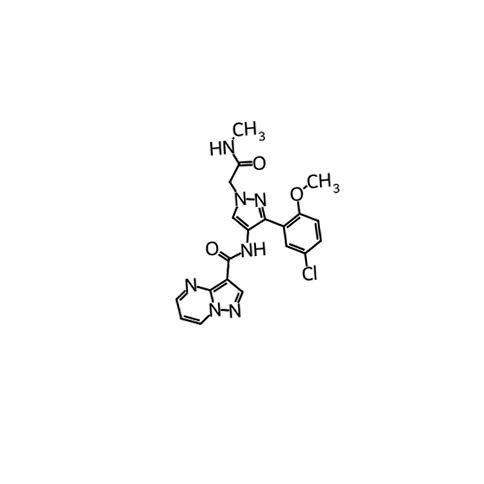 CNC(=O)Cn1cc(NC(=O)c2cnn3cccnc23)c(-c2cc(Cl)ccc2OC)n1